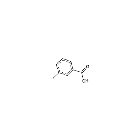 [CH]c1cccc(C(=O)O)c1